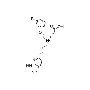 O=C(O)CCCN(CCCCc1ccc2c(n1)NCCC2)CCOc1cncc(F)c1